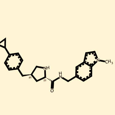 Cn1ccc2cc(CNC(=O)[C@@H]3C[C@@H](Cc4ccc(C5CC5)cc4)CN3)ccc21